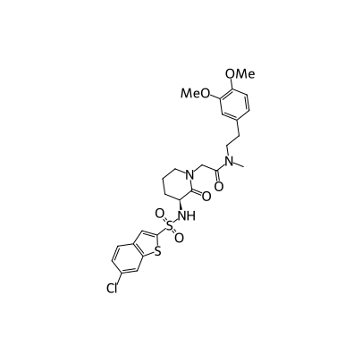 COc1ccc(CCN(C)C(=O)CN2CCC[C@H](NS(=O)(=O)c3cc4ccc(Cl)cc4s3)C2=O)cc1OC